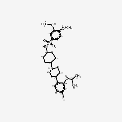 COc1ccc(S(=O)(=O)NC2CCC(N3CCC(c4ccc(F)cc4OC(C)C)CC3)CC2)cc1OC